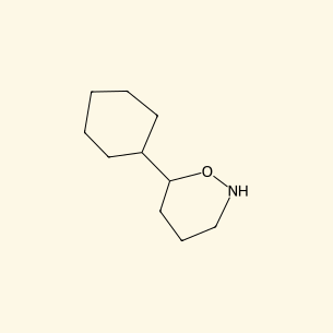 C1CCC(C2CCCNO2)CC1